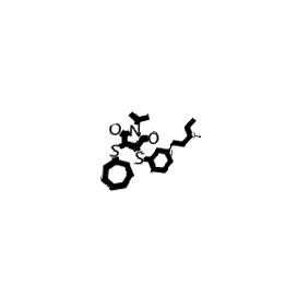 CC[C@H](C)CC[C@H]1CCCC(SC2=C(SC3CCCCCC3)C(=O)N(C(C)C)C2=O)C1